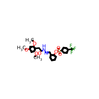 COc1cc(OC)c(CC(=O)N/N=C/c2ccccc2OS(=O)(=O)c2ccc(C(F)(F)F)cc2)c(OC)c1